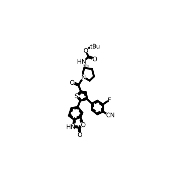 CC(C)(C)OC(=O)N[C@@H]1CCCN(C(=O)c2cc(-c3ccc(C#N)c(F)c3)c(-c3ccc4[nH]c(=O)oc4c3)s2)C1